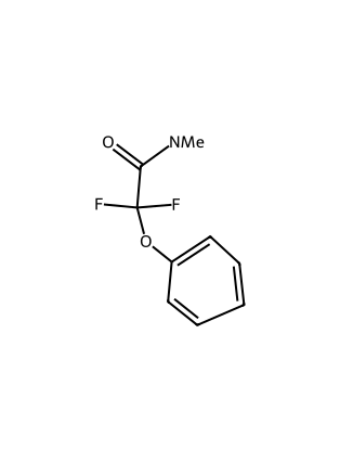 CNC(=O)C(F)(F)Oc1ccccc1